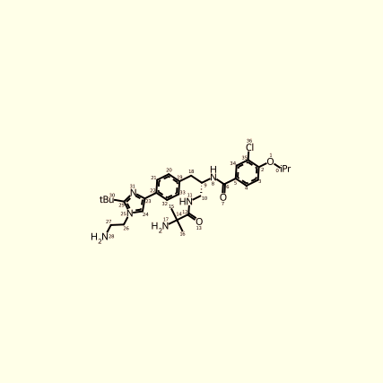 CC(C)Oc1ccc(C(=O)N[C@H](CNC(=O)C(C)(C)N)Cc2ccc(-c3cn(CCN)c(C(C)(C)C)n3)cc2)cc1Cl